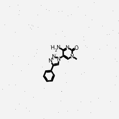 Cn1cc(-n2cc(-c3ccccc3)nn2)c(N)nc1=O